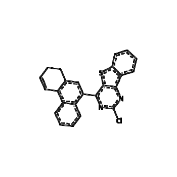 Clc1nc(-c2cc3c(c4ccccc24)C=CCC3)c2sc3ccccc3c2n1